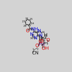 N#CCCOPO[C@H]1[C@H]2OC[C@]1(CO)O[C@H]2n1cnc2c(NC(=O)c3ccccc3)ncnc21